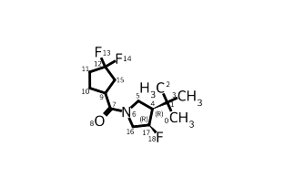 CC(C)(C)[C@@H]1CN(C(=O)C2CCC(F)(F)C2)C[C@@H]1F